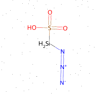 [N-]=[N+]=N[SiH2]S(=O)(=O)O